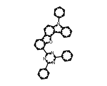 c1ccc(-c2nc(-c3ccccc3)nc(-c3cccc4c3oc3c4ccc4c3c3ccccc3n4-c3ccccc3)n2)cc1